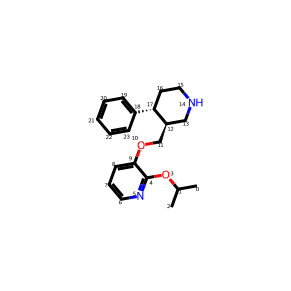 CC(C)Oc1ncccc1OC[C@@H]1CNCC[C@H]1c1ccccc1